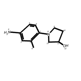 Cc1cc(N)ccc1N1CCC(O)C1